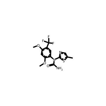 COc1cc(OC)c(C(F)(F)F)cc1N(C(N)=O)c1ncc(C)s1